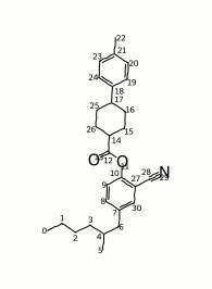 CCCCC(C)Cc1ccc(OC(=O)C2CCC(c3ccc(C)cc3)CC2)c(C#N)c1